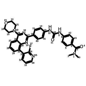 CN(C)C(=O)c1ccc(NC(=O)Nc2ccc(-c3nc(N4CCOCC4)c4cccc(-c5cccnc5F)c4n3)cc2)cc1